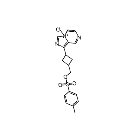 Cc1ccc(S(=O)(=O)OCC2CC(C3=C4C=NC=C[N+]4(Cl)C=N3)C2)cc1